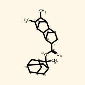 CC1C(C)C2CC1C1C3CC(C(=O)OC4(C)C5CC6CC(C5)CC4C6)C(C3)C21